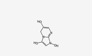 OC1=CN=C2N(O)C=C(O)N2C1